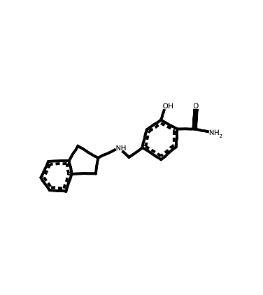 NC(=O)c1ccc(CNC2Cc3ccccc3C2)cc1O